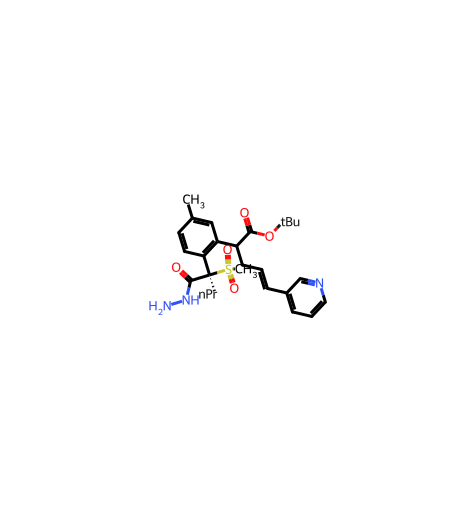 CCC[C@](C(=O)NN)(c1ccc(C)cc1C(C/C=C/c1cccnc1)C(=O)OC(C)(C)C)S(C)(=O)=O